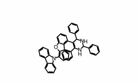 c1ccc(C2=C(c3cccc4oc5c(-n6c7ccccc7c7ccccc76)cccc5c34)C(c3ccccc3)NC(c3ccccc3)N2)cc1